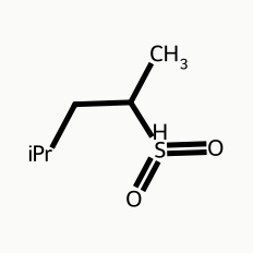 CC(C)CC(C)[SH](=O)=O